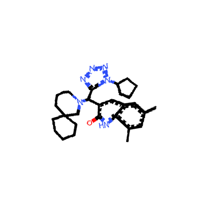 Cc1cc(C)c2[nH]c(=O)c(C(c3nnnn3C3CCCC3)N3CCCC4(CCCCC4)C3)cc2c1